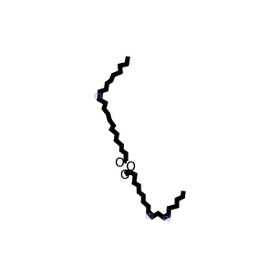 CCCCC/C=C\C/C=C\CCCCCCCC(=O)OC(=O)CCCCCCCCCCC/C=C\CCCCCCCC